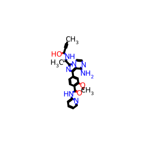 CC#CC(O)N[C@@H](C)c1nc(-c2ccc(C(=O)Nc3ccccn3)c(OC)c2)c2c(N)nccn12